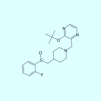 CC(C)(C)Oc1nccnc1CN1CCC(C[S+]([O-])c2ccccc2F)CC1